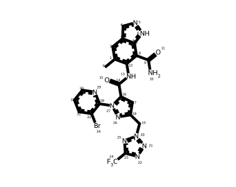 Cc1cc2cn[nH]c2c(C(N)=O)c1NC(=O)c1cc(Cn2nnc(C(F)(F)F)n2)nn1-c1ncccc1Br